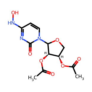 CC(=O)O[C@@H]1COC(n2ccc(NO)nc2=O)[C@@H]1OC(C)=O